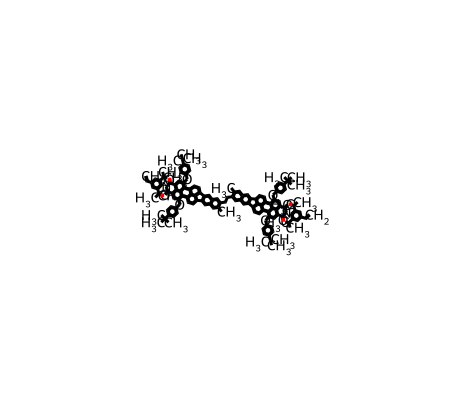 C=Cc1cc(C(C)C)c(N2C(=O)c3cc(Oc4ccc(C(C)(C)C)cc4)c4c5ccc6c7c(ccc(c8c(Oc9ccc(C(C)(C)C)cc9)cc(c3c48)C2=O)c75)-c2cc3cc(CCc4cc5cc7c(cc5cc4C)-c4ccc5c8c(Oc9ccc(C(C)(C)C)cc9)cc9c%10c(cc(Oc%11ccc(C(C)(C)C)cc%11)c(c%11ccc-7c4c5%11)c%108)C(=O)N(c4c(C(C)C)cc(C=C)cc4C(C)C)C9=O)c(C)cc3cc2-6)c(C(C)C)c1